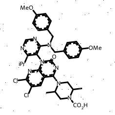 COc1ccc(CN(Cc2ccc(OC)cc2)c2ncnc(C(C)C)c2-n2c(=O)nc(N3CC(C)N(C(=O)O)CC3C)c3cc(Cl)c(Cl)nc32)cc1